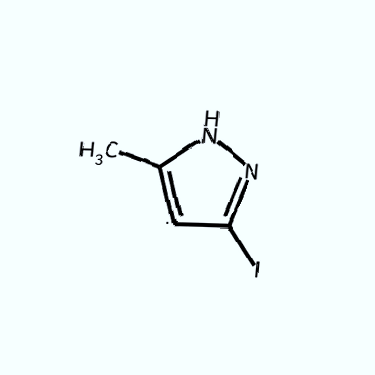 Cc1[c]c(I)n[nH]1